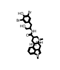 CN1CC(C(=O)NC(CO)Cc2cc(Br)c(O)c(Br)c2)C[C@@H]2c3cccc4c3c(cn4C)C[C@H]21